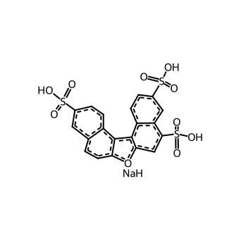 O=S(=O)(O)c1ccc2c(ccc3oc4cc(S(=O)(=O)O)c5cc(S(=O)(=O)O)ccc5c4c32)c1.[NaH]